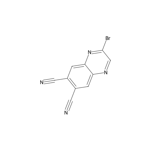 N#Cc1cc2ncc(Br)nc2cc1C#N